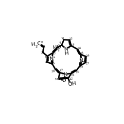 C=CCC1=CC2=NC1=CC1(O)CC=C(C=C3C=CC(=N3)C=c3c(O)c4on3c4=C2)N1